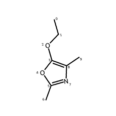 CCOc1oc(C)nc1C